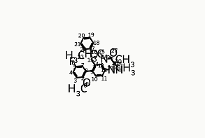 COc1ccc(F)cc1-c1ccc2c(c1COc1ccccc1C)N(C)C(=O)C(C)(C)N2